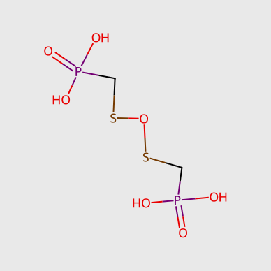 O=P(O)(O)CSOSCP(=O)(O)O